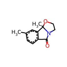 Cc1ccc2c(c1)C1(C)OCCN1C2=O